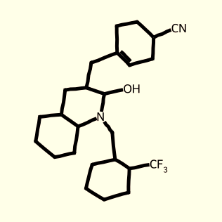 N#CC1CC=C(CC2CC3CCCCC3N(CC3CCCCC3C(F)(F)F)C2O)CC1